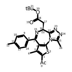 CC(=O)c1sc2c(c1C)C(c1ccc(C)cc1)=N[C@@H](CC(=O)OC(C)(C)C)c1nnc(C)n1-2